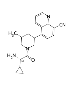 CC1CC(c2ccc(C#N)c3ncccc23)CN(C(=O)[C@@H](N)C2CC2)C1